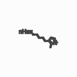 CCCCCCCCCCCC1=C(C)[N]C=C1